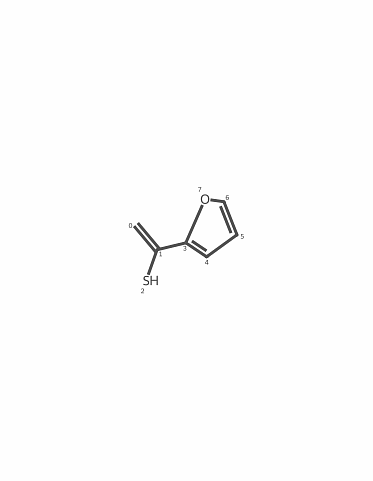 C=C(S)c1ccco1